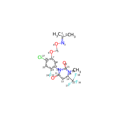 CC(C)=NOCOc1cc(-n2c(=O)cc(C(F)(F)F)n(C)c2=O)c(F)cc1Cl